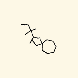 CCC1(OC(C)C(C)(C)CC)CCCCCC1